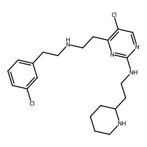 Clc1cccc(CCNCCc2nc(NCCC3CCCCN3)ncc2Cl)c1